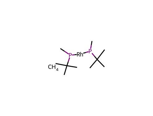 C.C[P]([Rh][P](C)C(C)(C)C)C(C)(C)C